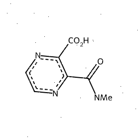 CNC(=O)c1nccnc1C(=O)O